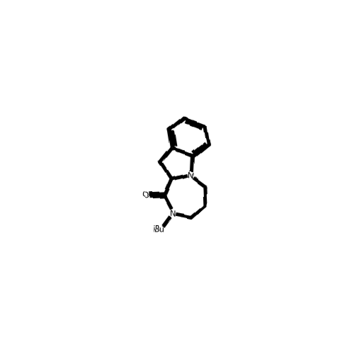 CCC(C)N1CCCN2c3ccccc3CC2C1=O